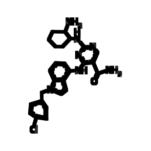 NC(=O)c1cnc(NC2CCCCC2N)nc1Nc1cccc2c1ccn2Cc1ccc(Cl)cc1